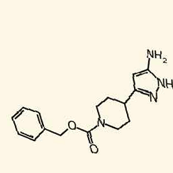 Nc1cc(C2CCN(C(=O)OCc3ccccc3)CC2)n[nH]1